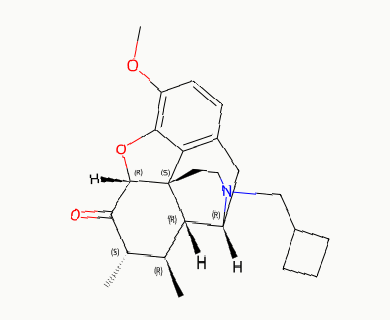 COc1ccc2c3c1O[C@H]1C(=O)[C@@H](C)[C@H](C)[C@H]4[C@@H](C2)N(CC2CCC2)CC[C@@]341